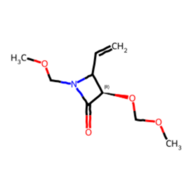 C=CC1[C@@H](OCOC)C(=O)N1COC